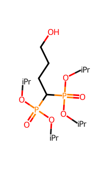 CC(C)OP(=O)(OC(C)C)C(CCCO)P(=O)(OC(C)C)OC(C)C